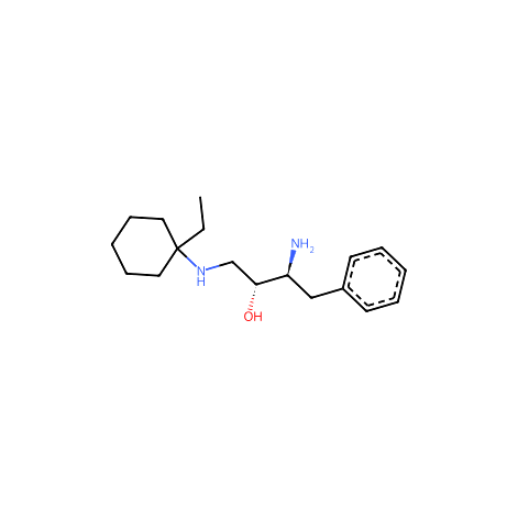 CCC1(NC[C@@H](O)[C@@H](N)Cc2ccccc2)CCCCC1